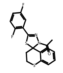 CC(=O)N1N=C(c2cc(F)ccc2F)SC12CCSc1ccccc12